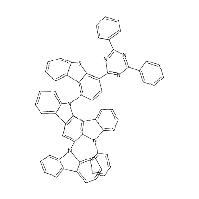 c1ccc(-c2nc(-c3ccccc3)nc(-c3ccc(-n4c5ccccc5c5cc(-n6c7ccccc7c7ccccc76)c6c(c7ccccc7n6-c6ccccc6)c54)c4c3sc3ccccc34)n2)cc1